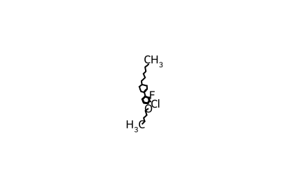 CCCCCCCC1CC=C(c2ccc(OCCCCC)c(Cl)c2F)CC1